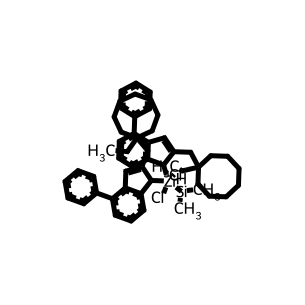 CCC1(CC2=Cc3c(-c4ccccc4)cccc3[CH]2[Zr]([Cl])([Cl])([CH]2C(CC3(CC)CCCCCCC3)=Cc3c(-c4ccccc4)cccc32)[SiH](C)C)CCCCCCC1